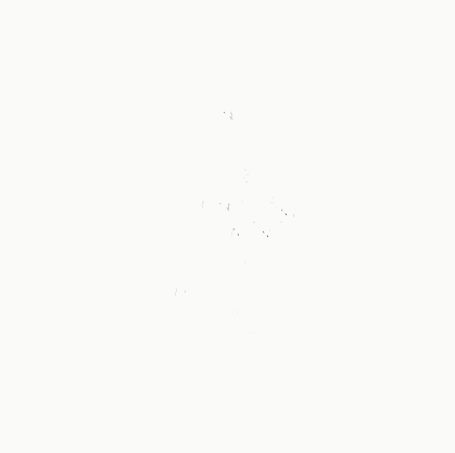 COC[C@H]1O[C@@H](Nc2nc[nH]c(=O)c2C(=N)C#CCCN)CC1OC